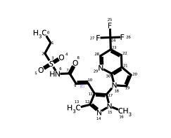 CCCS(=O)(=O)NC(=O)/C=C/c1c(C)nn(C)c1-n1ccc2cc(C(F)(F)F)cnc21